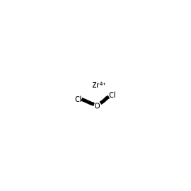 ClOCl.[Zr+4]